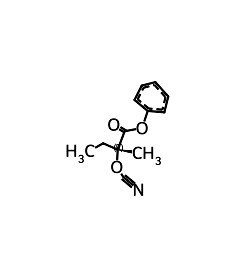 CC[C@@](C)(OC#N)C(=O)Oc1ccccc1